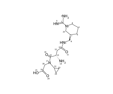 N=C(N)N1CCC[C@@H](CNC(=O)C[C@H](N)C(=O)N(CC(=O)O)C2CC2)C1